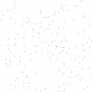 Cc1ccccc1CN1CC2(CC2)Oc2nc(Cl)c(C)cc2[S+]1[O-]